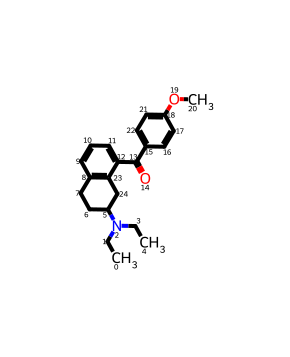 CCN(CC)C1CCc2cccc(C(=O)c3ccc(OC)cc3)c2C1